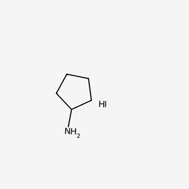 I.NC1CCCC1